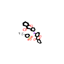 O=S(=O)([O-])c1ccc(C(F)(F)F)cc1.O=c1c2ccccc2oc2ccc([I+]c3ccc4oc5ccccc5c(=O)c4c3)cc12